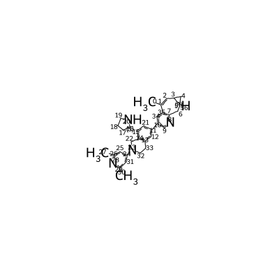 CC1=CC2C[C@@H]2Cc2ncc(-c3cc4c(c([C@@H]5CCCN5)c3)CN(c3cc(C)nc(C)c3)CC4)cc21